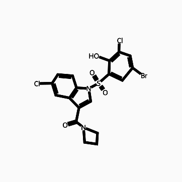 O=C(c1cn(S(=O)(=O)c2cc(Br)cc(Cl)c2O)c2ccc(Cl)cc12)N1CCC1